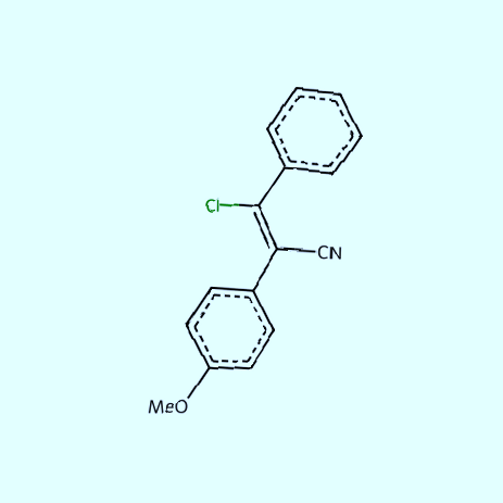 COc1ccc(C(C#N)=C(Cl)c2ccccc2)cc1